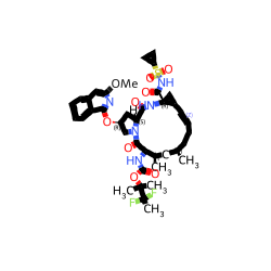 COc1cc2ccccc2c(O[C@@H]2C[C@H]3C(=O)N[C@]4(C(=O)NS(=O)(=O)C5CC5)CC4/C=C\CC[C@@H](C)C[C@@H](C)C(NC(=O)OC(C)(C)C(C)(F)F)C(=O)N3C2)n1